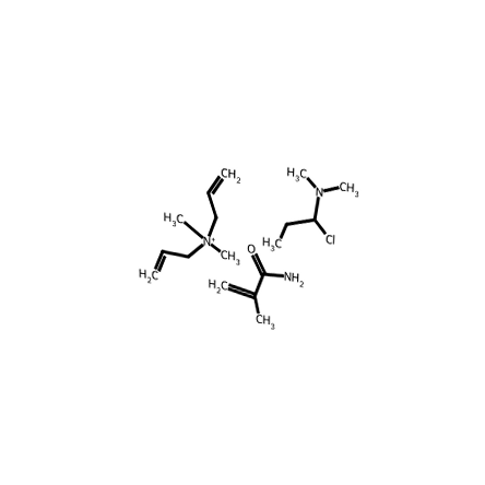 C=C(C)C(N)=O.C=CC[N+](C)(C)CC=C.CCC(Cl)N(C)C